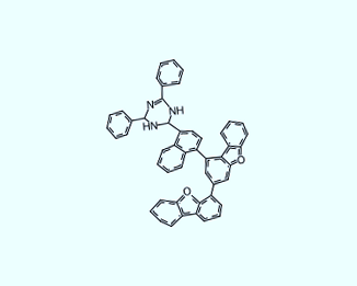 c1ccc(C2=NC(c3ccccc3)NC(c3ccc(-c4cc(-c5cccc6c5oc5ccccc56)cc5oc6ccccc6c45)c4ccccc34)N2)cc1